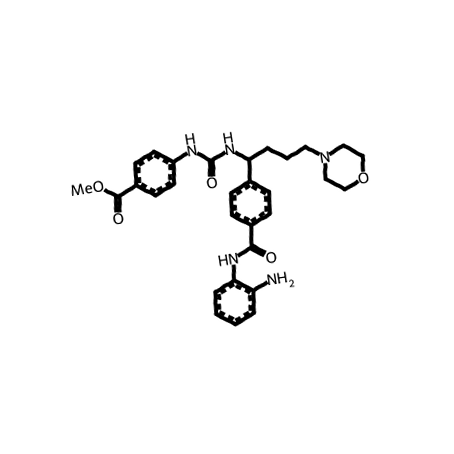 COC(=O)c1ccc(NC(=O)NC(CCCN2CCOCC2)c2ccc(C(=O)Nc3ccccc3N)cc2)cc1